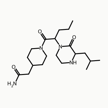 CCCC(C(=O)N1CCC(CC(N)=O)CC1)N1CCNC(CC(C)C)C1=O